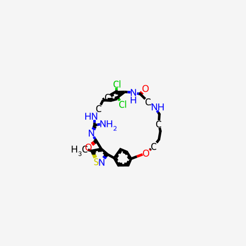 Cc1snc2c1C(=O)/N=C(\N)NCc1cc(Cl)c(c(Cl)c1)NC(=O)CNCCCCCOc1ccc-2cc1